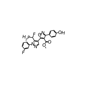 COC(=O)c1c(-c2ccc(O)cc2)noc1-c1cnn(-c2cccc(F)c2)c1C(F)P